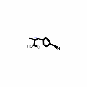 C/C(=C/c1ccc(C#N)cc1)C(=O)O